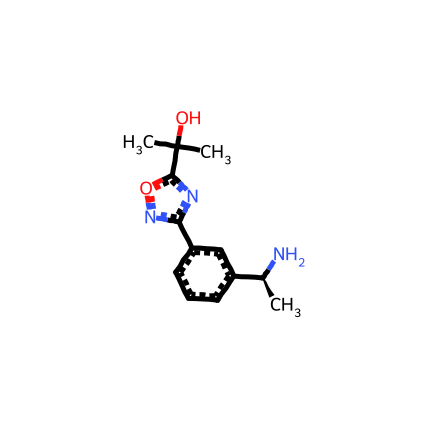 C[C@H](N)c1cccc(-c2noc(C(C)(C)O)n2)c1